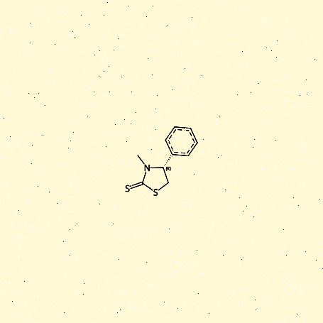 CN1C(=S)SC[C@H]1c1ccccc1